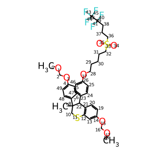 COCOc1ccc(C2(C)CSc3cc(OCOC)ccc3C2c2ccc(OCCCCCS(=O)(=O)CCCC(F)(F)C(F)(F)F)cc2)cc1